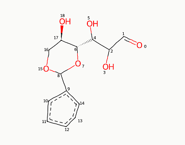 O=CC(O)C(O)[C@@H]1OC(c2ccccc2)OC[C@H]1O